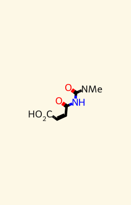 CNC(=O)NC(=O)/C=C\C(=O)O